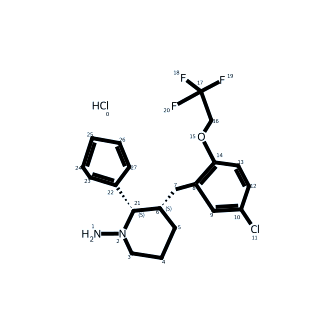 Cl.NN1CCC[C@@H](Cc2cc(Cl)ccc2OCC(F)(F)F)[C@H]1c1ccccc1